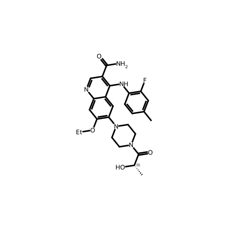 CCOc1cc2ncc(C(N)=O)c(Nc3ccc(C)cc3F)c2cc1N1CCN(C(=O)[C@H](C)O)CC1